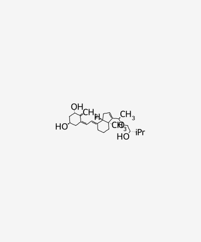 C=C1C(=CC=C2CCC[C@]3(C)C([C@@H](C)OC[C@@H](O)C(C)C)=CC[C@@H]23)C[C@@H](O)C[C@@H]1O